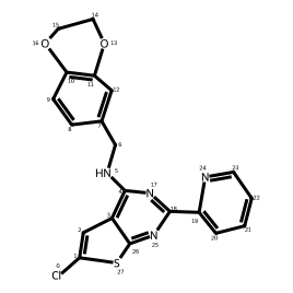 Clc1cc2c(NCc3ccc4c(c3)OCCO4)nc(-c3ccccn3)nc2s1